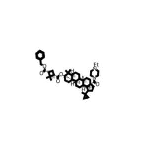 CCN1CCN(C(=O)[C@]23CCC(C4(C)CC4)[C@@H]2[C@H]2CC[C@@H]4[C@@]5(C)CC[C@H](OC(=O)[C@H]6C[C@@H](C(=O)OCc7ccccc7)C6(C)C)C(C)(C)[C@@H]5CC[C@@]4(C)[C@]2(C)CC3)CC1